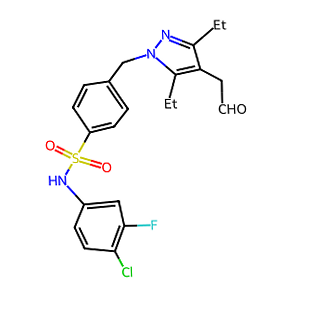 CCc1nn(Cc2ccc(S(=O)(=O)Nc3ccc(Cl)c(F)c3)cc2)c(CC)c1CC=O